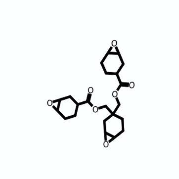 O=C(OCC1(COC(=O)C2CCC3OC3C2)CCC2OC2C1)C1CCC2OC2C1